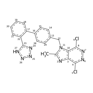 Cc1nc2c(Cl)nnc(Cl)c2n1Cc1ccc(-c2ccccc2-c2nnn[nH]2)cc1